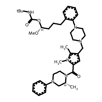 CO[C@@H](CCCc1ccccc1N1CCN(Cc2cc(C(=O)N3CCN(c4ccccc4)C[C@H]3C)n(C)c2C)CC1)OC(=O)NC(C)(C)C